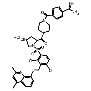 Cc1cc(C)c2cccc(OCc3c(Cl)ccc(S(=O)(=O)N4CCCC4C(=O)N4CCN(C(=O)c5ccc(C(=N)N)cc5)CC4)c3Cl)c2n1.Cl.Cl